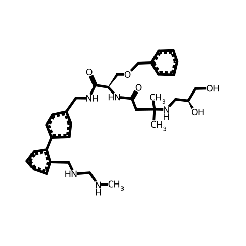 CNCNCc1ccccc1-c1ccc(CNC(=O)[C@@H](COCc2ccccc2)NC(=O)CC(C)(C)NC[C@H](O)CO)cc1